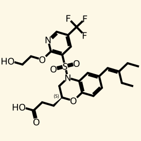 CCC(=Cc1ccc2c(c1)N(S(=O)(=O)c1cc(C(F)(F)F)cnc1OCCO)C[C@H](CCC(=O)O)O2)CC